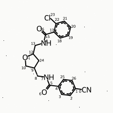 N#Cc1ccc(C(=O)NCC2COC(CNC(=O)c3ccccc3Cl)C2)cc1